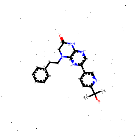 CC(C)(O)c1ccc(-c2cnc3c(n2)N(CCc2ccccc2)CC(=O)N3)cn1